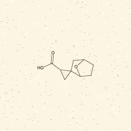 O=C(O)C1CC12CC1CCC2O1